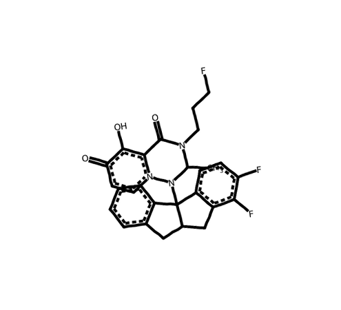 CC1N(CCCF)C(=O)c2c(O)c(=O)ccn2N1C12c3ccccc3CC1Cc1c2ccc(F)c1F